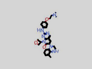 Cc1cccc2c1NCCN2c1cc2cnc(Nc3ccc(OCCN(C)C)cc3)nc2n(C2COC2)c1=O